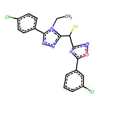 CCn1c(-c2ccc(Cl)cc2)nnc1C(S)c1noc(-c2cccc(Cl)c2)n1